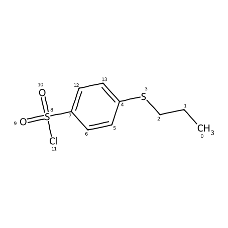 CCCSc1ccc(S(=O)(=O)Cl)cc1